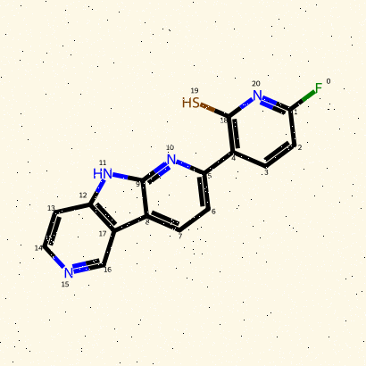 Fc1ccc(-c2ccc3c(n2)[nH]c2ccncc23)c(S)n1